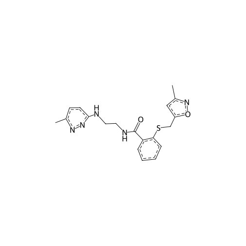 Cc1ccc(NCCNC(=O)c2ccccc2SCc2cc(C)no2)nn1